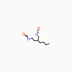 CCCCC(CCN=C=O)CN=C=O